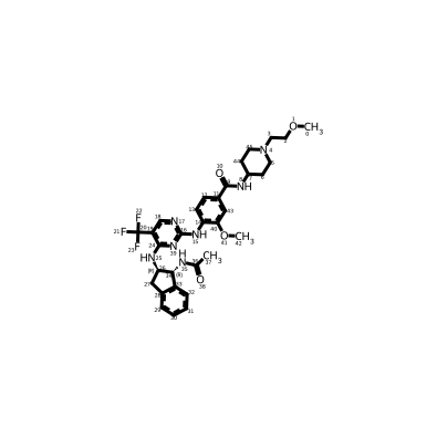 COCCN1CCC(NC(=O)c2ccc(Nc3ncc(C(F)(F)F)c(N[C@@H]4Cc5ccccc5[C@H]4NC(C)=O)n3)c(OC)c2)CC1